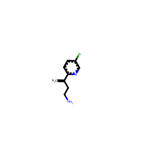 C=C(CCN)c1ccc(Br)cn1